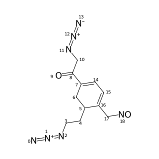 [N-]=[N+]=NCCC1CC(C(=O)CN=[N+]=[N-])=CC=C1CN=O